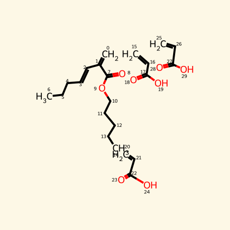 C=C(C=CCCC)C(=O)OCCCCC.C=CC(=O)O.C=CC(=O)O.C=CC(=O)O